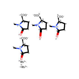 CN1C(=O)CC[C@@H]1C(=O)[O-].CN1C(=O)CC[C@@H]1C(=O)[O-].CN1C(=O)CC[C@@H]1C(=O)[O-].CN1C(=O)CC[C@@H]1C(=O)[O-].[Rh+2].[Rh+2]